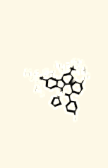 CC(C)(C)c1ccc2c(c1)-c1cc(C(C)(C)C)ccc1[CH]2[Zr](=[C](c1ccc(I)cc1)c1ccc(I)cc1)[CH]1C=CC=C1